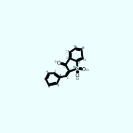 O=C1/C(=C\c2ccccc2)S(=O)(=O)c2ccccc21